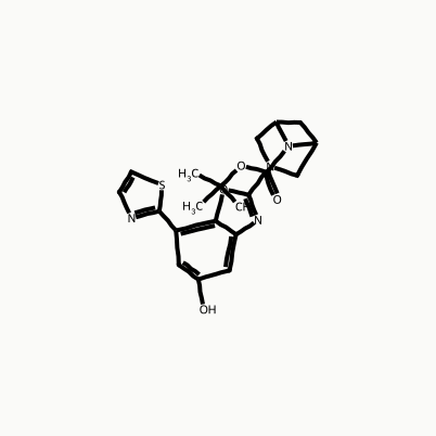 CC(C)(C)OC(=O)N1C2CC1CN(c1nc3cc(O)cc(-c4nccs4)c3o1)C2